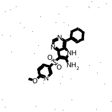 COc1ccc(S(=O)(=O)c2c(N)[nH]c3c(C4=CCCCC4)ncnc23)cn1